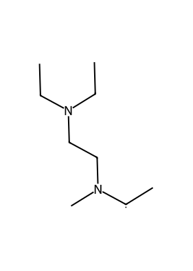 C[CH]N(C)CCN(CC)CC